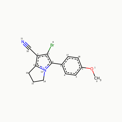 COc1ccc(-c2c(Br)c(C#N)c3n2CCC3)cc1